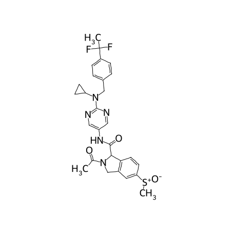 CC(=O)N1Cc2cc([S+](C)[O-])ccc2C1C(=O)Nc1cnc(N(Cc2ccc(C(C)(F)F)cc2)C2CC2)nc1